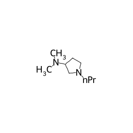 [CH2]CCN1CCC(N(C)C)C1